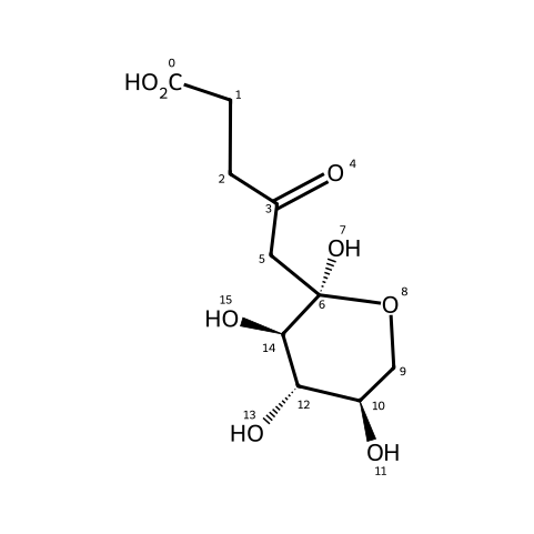 O=C(O)CCC(=O)C[C@@]1(O)OC[C@@H](O)[C@H](O)[C@H]1O